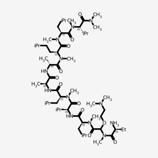 CC[C@H](N)C(=O)N(C)C(OCCN(C)C)C(=O)N(C)[C@@H](CC(C)C)C(=O)N[C@H](C(=O)N(C)[C@@H](CC(C)C)C(=O)N[C@@H](C)C(=O)N[C@H](C)C(=O)N(C)[C@@H](CCC(C)C)C(=O)N(C)[C@@H](CC(C)C)C(=O)N(C)[C@H](C(=O)N(C)C)C(C)C)C(C)C